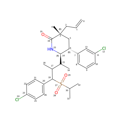 C=CC[C@]1(C)C[C@H](c2cccc(Cl)c2)[C@@H](C(C)C(C)C(c2ccc(Cl)cc2)S(=O)(=O)C(C)C)NC1=O